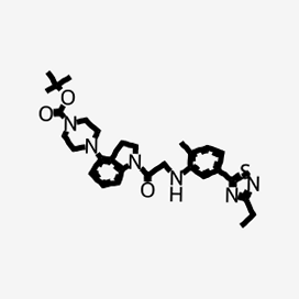 CCc1nsc(-c2ccc(C)c(NCC(=O)N3CCc4c(N5CCN(C(=O)OC(C)(C)C)CC5)cccc43)c2)n1